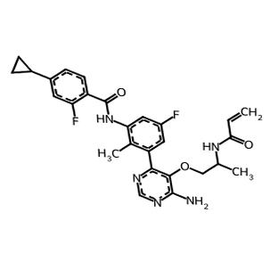 C=CC(=O)NC(C)COc1c(N)ncnc1-c1cc(F)cc(NC(=O)c2ccc(C3CC3)cc2F)c1C